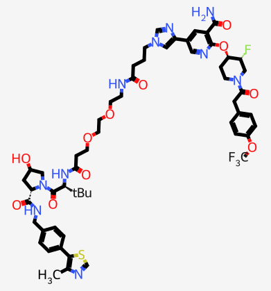 Cc1ncsc1-c1ccc(CNC(=O)[C@@H]2CC(O)CN2C(=O)[C@@H](NC(=O)CCOCCOCCNC(=O)CCCn2cnc(-c3cnc(O[C@@H]4CCN(C(=O)Cc5ccc(OC(F)(F)F)cc5)C[C@H]4F)c(C(N)=O)c3)c2)C(C)(C)C)cc1